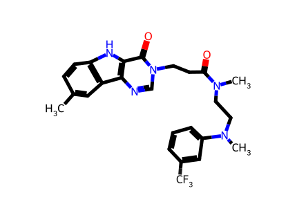 Cc1ccc2[nH]c3c(=O)n(CCC(=O)N(C)CCN(C)c4cccc(C(F)(F)F)c4)cnc3c2c1